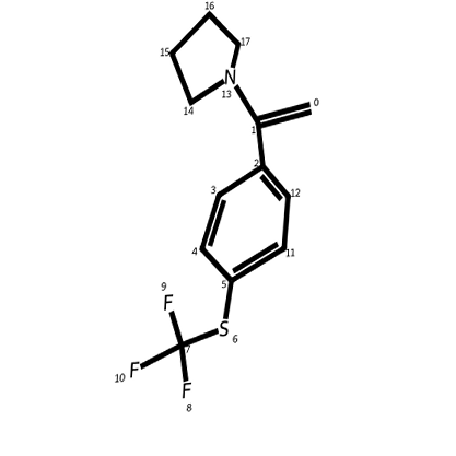 C=C(c1ccc(SC(F)(F)F)cc1)N1CCCC1